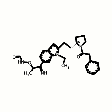 CCn1c(CC[C@@H]2CCCN2C(=O)Cc2ccccc2)cc2ccc(C(=N)C(C)ONC=O)cc21